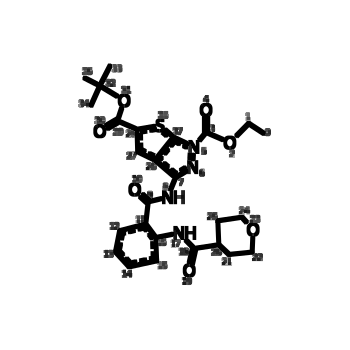 CCOC(=O)n1nc(NC(=O)c2ccccc2NC(=O)C2CCOCC2)c2cc(C(=O)OC(C)(C)C)sc21